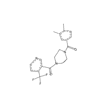 Cc1ccc(C(=O)N2CCN(C(=O)c3cnccc3C(F)(F)F)CC2)cc1C